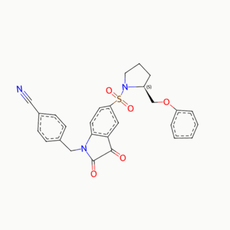 N#Cc1ccc(CN2C(=O)C(=O)c3cc(S(=O)(=O)N4CCC[C@H]4COc4ccccc4)ccc32)cc1